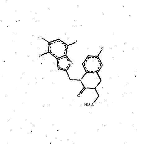 O=C(O)CC1Cc2cc(Cl)ccc2N(Cc2nc3c(F)c(F)cc(F)c3s2)C1=O